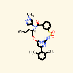 Cc1cccc(C)c1-c1cc2nc(n1)NS(=O)(=O)c1cccc(c1)C(=O)N(c1cnn(C)c1)[C@H](CCC(C)C)CO2